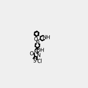 O=C([C@@H]1CCNC[C@H]1c1ccccc1)N1CCC(O)(Cn2cnc3c(Cl)scc3c2=O)CC1